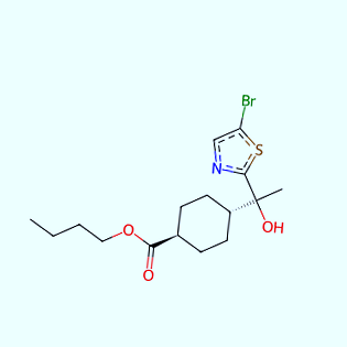 CCCCOC(=O)[C@H]1CC[C@H](C(C)(O)c2ncc(Br)s2)CC1